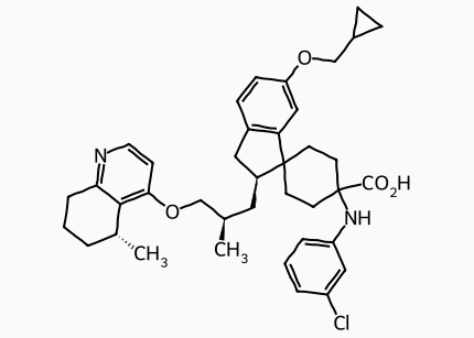 C[C@@H](COc1ccnc2c1[C@H](C)CCC2)C[C@H]1Cc2ccc(OCC3CC3)cc2C12CCC(Nc1cccc(Cl)c1)(C(=O)O)CC2